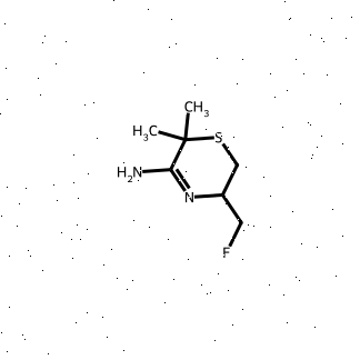 CC1(C)SCC(CF)N=C1N